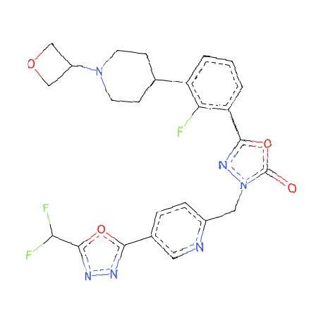 O=c1oc(-c2cccc(C3CCN(C4COC4)CC3)c2F)nn1Cc1ccc(-c2nnc(C(F)F)o2)cn1